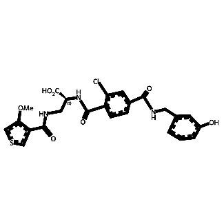 COc1cscc1C(=O)NC[C@H](NC(=O)c1ccc(C(=O)NCc2cccc(O)c2)cc1Cl)C(=O)O